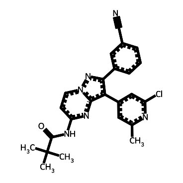 Cc1cc(-c2c(-c3cccc(C#N)c3)nn3ccc(NC(=O)C(C)(C)C)nc23)cc(Cl)n1